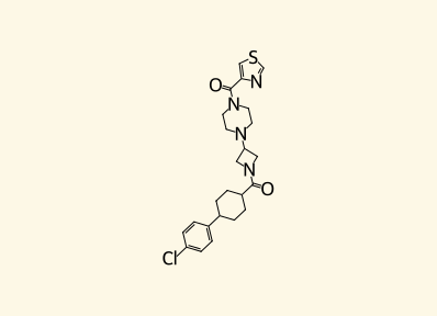 O=C(c1cscn1)N1CCN(C2CN(C(=O)C3CCC(c4ccc(Cl)cc4)CC3)C2)CC1